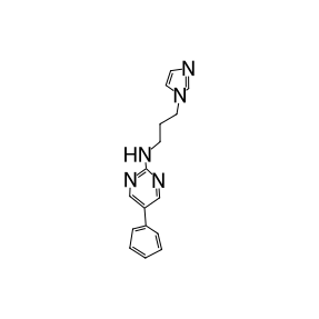 c1ccc(-c2cnc(NCCCn3ccnc3)nc2)cc1